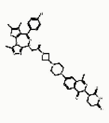 Cc1sc2c(c1C)C(c1ccc(Cl)cc1)=N[C@@H](CC(=O)N1CC(N3CCN(c4ccc5c(=O)n(C6CCC(=O)NC6=O)nc(C)c5c4)CC3)C1)c1nnc(C)n1-2